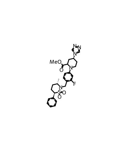 COC(=O)C1C[C@@H](n2cnnc2)CCN1c1ccc(CN2[C@@H](C)CC[C@H](c3ccccc3)S2(=O)=O)c(F)c1